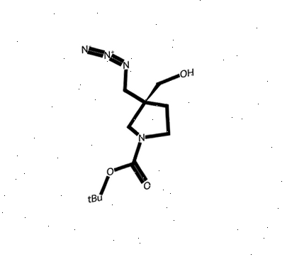 CC(C)(C)OC(=O)N1CC[C@@](CO)(CN=[N+]=[N-])C1